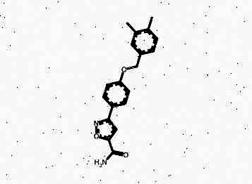 Cc1ccc(COc2ccc(-c3cc(C(N)=O)on3)cc2)cc1C